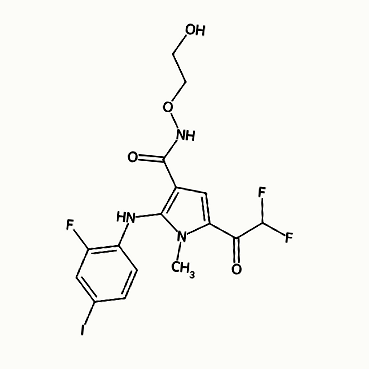 Cn1c(C(=O)C(F)F)cc(C(=O)NOCCO)c1Nc1ccc(I)cc1F